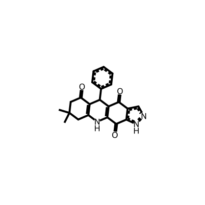 CC1(C)CC(=O)C2=C(C1)NC1=C(C(=O)c3cn[nH]c3C1=O)C2c1ccccc1